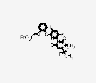 CCOC(=O)COc1ccccc1Oc1nc(-n2c(=O)cc(C(C)(F)F)n(C)c2=O)c(F)cc1Cl